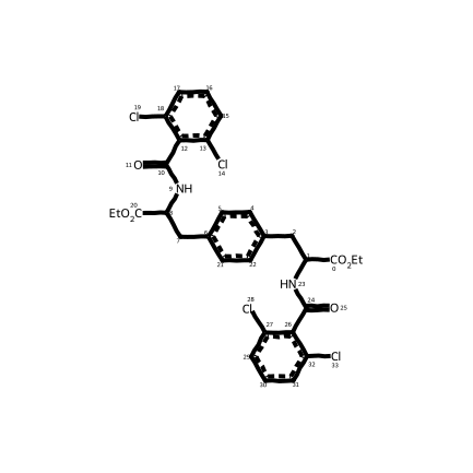 CCOC(=O)C(Cc1ccc(CC(NC(=O)c2c(Cl)cccc2Cl)C(=O)OCC)cc1)NC(=O)c1c(Cl)cccc1Cl